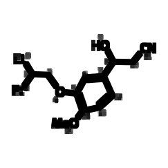 CCC(CC)COc1cc(C(O)CC#N)ccc1OC